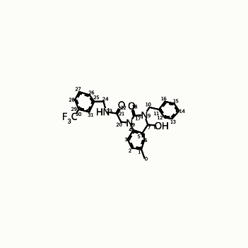 Cc1ccc2c(c1)C(O)N(Cc1ccccc1)C(=O)N2CC(=O)NCc1cccc(C(F)(F)F)c1